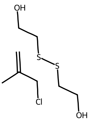 C=C(C)CCl.OCCSSCCO